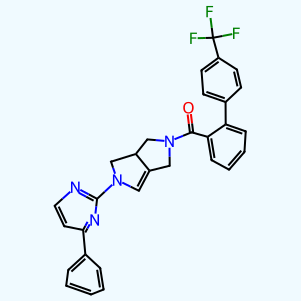 O=C(c1ccccc1-c1ccc(C(F)(F)F)cc1)N1CC2=CN(c3nccc(-c4ccccc4)n3)CC2C1